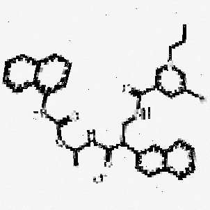 CCC[n+]1cc(Br)cc(C(=O)NCC(C(=O)NC(C)OC(=O)Nc2cccc3ccccc23)c2ccc3ccccc3c2)c1.[Cl-]